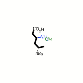 CCCC[C@@H](C)C[C@H](N)CC(=O)O.Cl